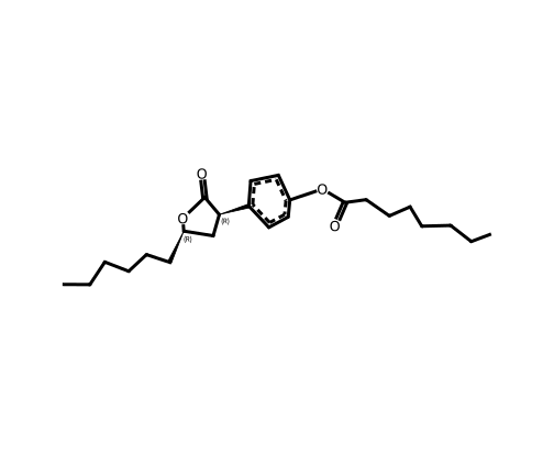 CCCCCCCC(=O)Oc1ccc([C@H]2C[C@@H](CCCCCC)OC2=O)cc1